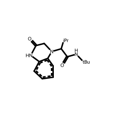 CC(C)C(C(=O)NC(C)(C)C)N1CC(=O)Nc2ccccc21